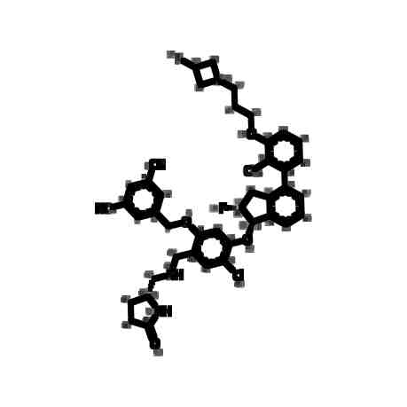 N#Cc1cc(C#N)cc(COc2cc(O[C@@H]3c4cccc(-c5cccc(OCCCN6CC(F)C6)c5Cl)c4C[C@H]3F)c(Cl)cc2CNC[C@H]2CCC(=O)N2)c1